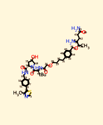 Cc1ncsc1-c1ccc(CNC(=O)[C@@H]2C[C@H](O)CN2C(=O)[C@@H](NC(=O)COCCCCc2ccc(CO[C@H](C)[C@@H](N)CCC(N)=O)cc2)C(C)(C)C)cc1